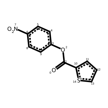 O=C(Oc1ccc([N+](=O)[O-])cc1)c1cccs1